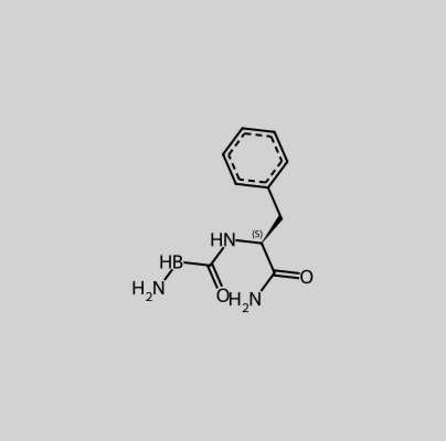 NBC(=O)N[C@@H](Cc1ccccc1)C(N)=O